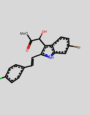 COC(=O)C(O)c1c(/C=C/c2ccc(Cl)cc2)[nH]c2cc(Br)ccc12